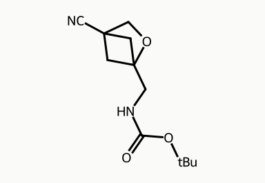 CC(C)(C)OC(=O)NCC12CC(C#N)(CO1)C2